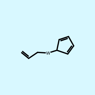 C=C[CH2][W][CH]1C=CC=C1